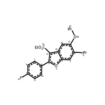 CCCc1cc2oc(-c3ccc(F)cc3)c(C(=O)OCC)c2cc1OC(C)C